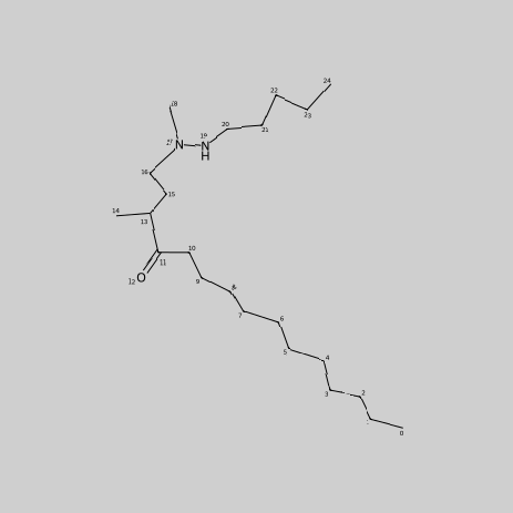 CCCCCCCCCCCC(=O)C(C)CCN(C)NCCCCC